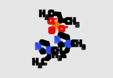 CCC(C)P(=O)([O-])[O-].CC[N+]1(C)C=CN=C1.CC[N+]1(C)C=CN=C1